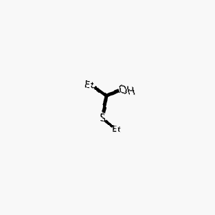 CCSC(O)CC